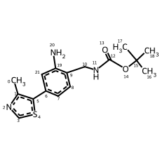 Cc1ncsc1-c1ccc(CNC(=O)OC(C)(C)C)c(N)c1